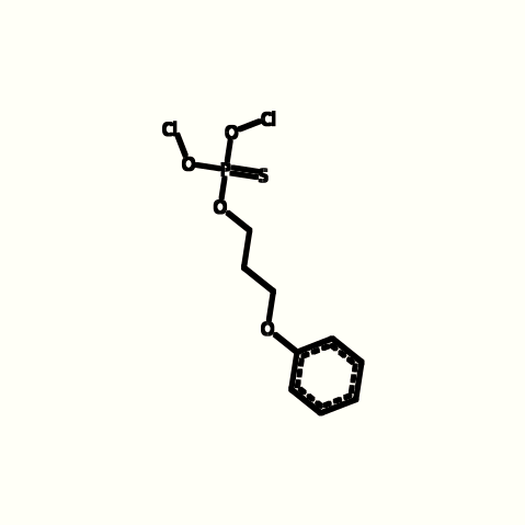 S=P(OCl)(OCl)OCCCOc1ccccc1